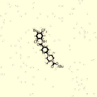 C[C@@H]1CN(C(=O)OC(C)(C)C)[C@@H](C)CN1c1ccc(C(=O)Nc2cc(C(F)(F)F)c(Br)cc2Cl)cn1